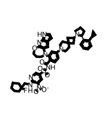 O=C(NS(=O)(=O)c1cnc(NCC2(F)CCCCC2)c([N+](=O)[O-])c1)c1ccc(N2CCC3(CC2)CC(N2CCC[C@H]2c2ccccc2C2CC2)C3)cc1N1CCCOc2nc3[nH]ccc3cc21